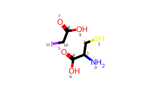 NC(CS)C(=O)O.O=C(O)CI